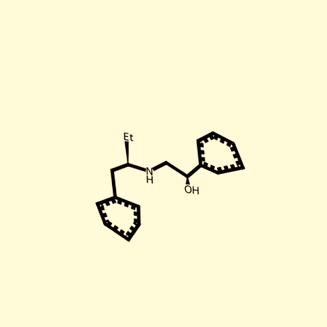 CC[C@H](Cc1ccccc1)NC[C@H](O)c1ccccc1